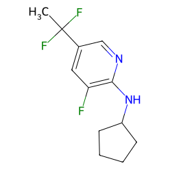 CC(F)(F)c1cnc(NC2CCCC2)c(F)c1